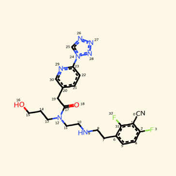 N#Cc1c(F)ccc(CCNCCN(CCCO)C(=O)Cc2ccc(-n3cnnn3)nc2)c1F